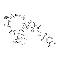 CC[C@H]1OC(=O)[C@H](C)C([C@H]2C[C@@](C)(OC)[C@@H](O)[C@H](C)O2)[C@H](C)[C@@H](O[C@@H]2O[C@H](C)C[C@H](N(C)CCNS(=O)(=O)c3ccc(Cl)c(Cl)c3)[C@H]2O)[C@](C)(O)C[C@@H](C)CN(C)[C@H](C)[C@@H](O)[C@]1(C)O